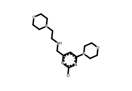 Clc1nc(CNCCN2CCOCC2)cc(N2CCOCC2)n1